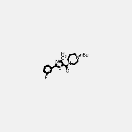 CCCCN1CCCN(C(=O)c2sc(-c3cccc(F)c3)nc2C)CC1